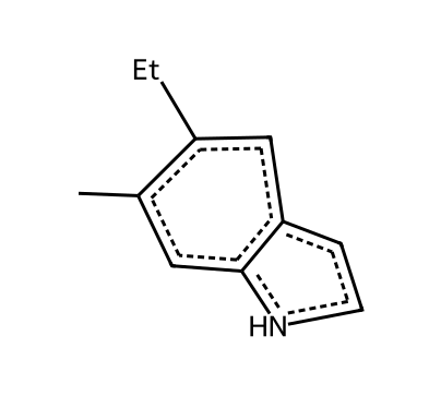 CCc1cc2cc[nH]c2cc1C